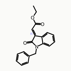 CCOC(=O)/C=C1/C(=O)N(Cc2ccccc2)c2ccccc21